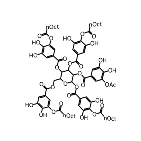 CCCCCCCCC(=O)Oc1cc(C(=O)OCC2OC(OC(=O)c3cc(O)c(OC(=O)CCCCCCCC)c(O)c3)C(OC(=O)c3cc(O)c(O)c(OC(C)=O)c3)C(OC(=O)c3cc(O)c(OC(=O)CCCCCCCC)c(O)c3)C2OC(=O)c2cc(O)c(O)c(OC(=O)CCCCCCCC)c2)cc(O)c1O